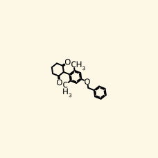 Cc1cc(OCc2ccccc2)cc(C)c1C1C(=O)CCCC1=O